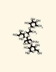 CC(=O)NCC(CO)(COC(OC(CO)C(O)CO)C(C)OC1OC(C)C(O)C(O)C1O)COC1C(O)C(O)OC(CO)C1O